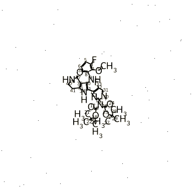 COc1c(F)cccc1Nc1c(-c2nc(N(C(=O)OC(C)(C)C)C(=O)OC(C)(C)C)ncc2F)[nH]c2c1C(=O)NCC2